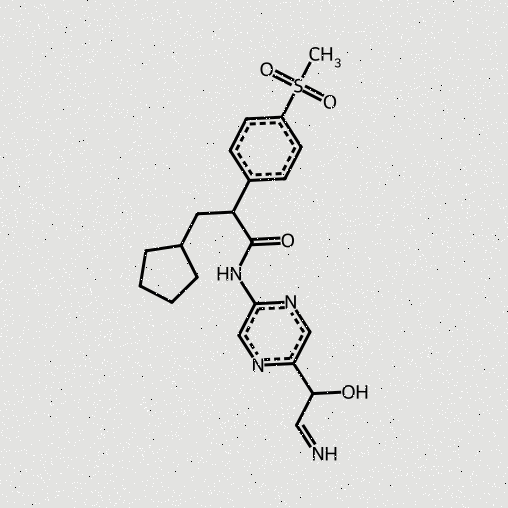 CS(=O)(=O)c1ccc(C(CC2CCCC2)C(=O)Nc2cnc(C(O)C=N)cn2)cc1